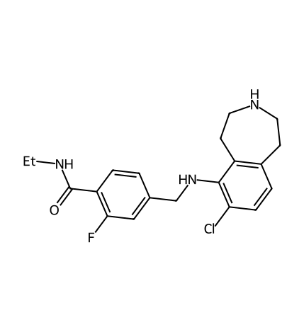 CCNC(=O)c1ccc(CNc2c(Cl)ccc3c2CCNCC3)cc1F